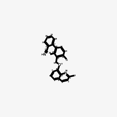 Cc1ccc2cccc(OCc3c(C)ccc(-c4ccccc4C#N)c3C)c2n1